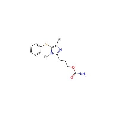 CCn1c(CCCOC(N)=O)nc(C(C)C)c1Sc1ccccc1